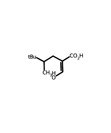 CC(CC(=CO)C(=O)O)C(C)(C)C